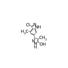 Cc1c(-c2cc(C)c3c(Cl)n[nH]c3c2)n[nH]c1O